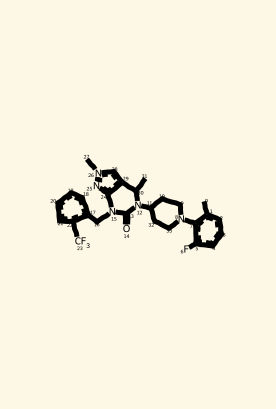 Cc1cccc(F)c1N1CCC(N2C(=O)N(Cc3ccccc3C(F)(F)F)c3nn(C)cc3C2C)CC1